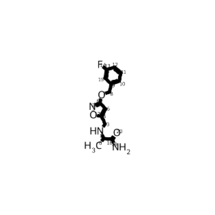 CC(NCc1cc(OCc2cccc(F)c2)no1)C(N)=O